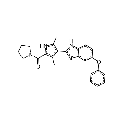 Cc1[nH]c(C(=O)N2CCCC2)c(C)c1-c1nc2cc(Oc3ccccc3)ccc2[nH]1